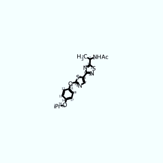 CC(=O)NC(C)c1nc(-c2cnc(Oc3ccc(OC(C)C)cc3)s2)ns1